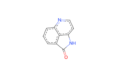 O=C1Nc2ccnc3cccc1c23